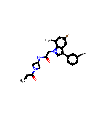 C=CC(=O)N1CC(NC(=O)Cn2cc(-c3cccc(C(C)C)c3)c3cc(Br)cc(C)c32)C1